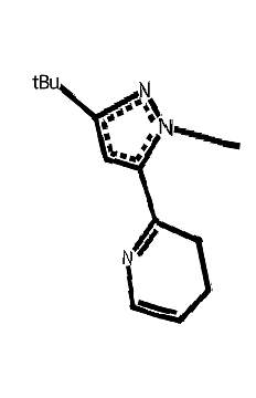 Cn1nc(C(C)(C)C)cc1C1=NC=CCC1